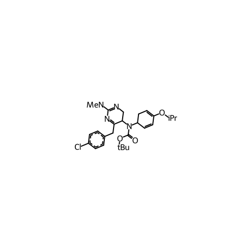 CNC1=NCC(N(C(=O)OC(C)(C)C)C2C=CC(OC(C)C)=CC2)C(Cc2ccc(Cl)cc2)=N1